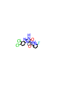 O=C(NC1(C(F)(F)F)C(=O)Nc2nc3c(Cl)c(Cl)ccc3n21)c1cccc(F)n1